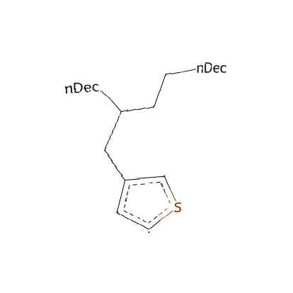 CCCCCCCCCCCCC(CCCCCCCCCC)Cc1c[c]sc1